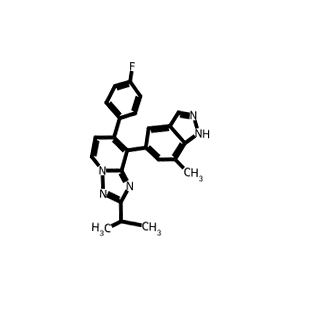 Cc1cc(-c2c(-c3ccc(F)cc3)ccn3nc(C(C)C)nc23)cc2cn[nH]c12